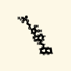 NS(=O)(=O)OCCO[C@@H]1C[C@H](n2nnc3c(NCc4cccc5ccccc45)ncnc32)[C@@H](O)[C@H]1O